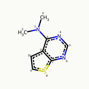 CN(C)c1ncnc2sccc12